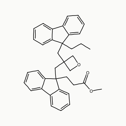 CCCC1(CC2(CC3(CCC(=O)OC)c4ccccc4-c4ccccc43)COC2)c2ccccc2-c2ccccc21